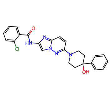 O=C(Nc1cn2nc(N3CCC(O)(c4ccccc4)CC3)ccc2n1)c1ccccc1Cl